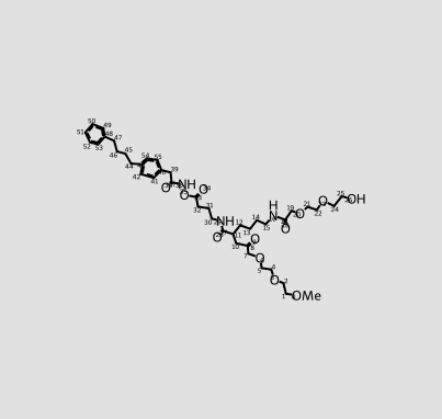 COCCOCCOCC(=O)CC(CCCCNC(=O)COCCOCCO)C(=O)NCCCC(=O)ONC(=O)Cc1ccc(CCCCc2ccccc2)cc1